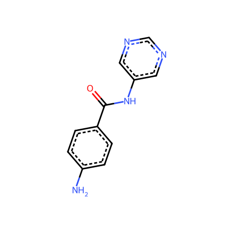 Nc1ccc(C(=O)Nc2cncnc2)cc1